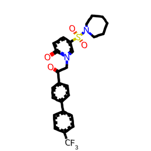 O=C(Cn1cc(S(=O)(=O)N2CCCCCC2)ccc1=O)c1ccc(-c2ccc(C(F)(F)F)cc2)cc1